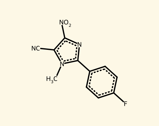 Cn1c(-c2ccc(F)cc2)nc([N+](=O)[O-])c1C#N